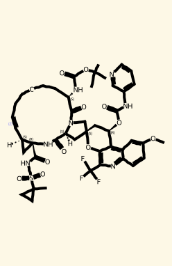 COc1ccc2nc(C(F)(F)F)c3c(c2c1)[C@H](OC(=O)Nc1cccnc1)C[C@]1(C[C@H]2C(=O)N[C@]4(C(=O)NS(=O)(=O)C5(C)CC5)C[C@H]4/C=C\CCCCC[C@H](NC(=O)OC(C)(C)C)C(=O)N2C1)O3